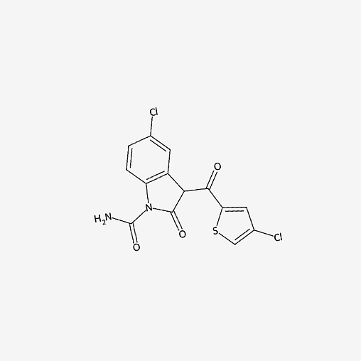 NC(=O)N1C(=O)C(C(=O)c2cc(Cl)cs2)c2cc(Cl)ccc21